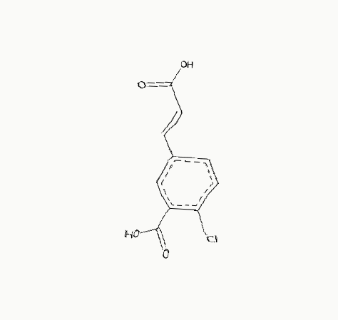 O=C(O)C=Cc1ccc(Cl)c(C(=O)O)c1